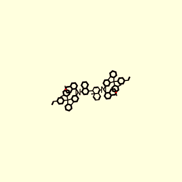 C=Cc1ccc(C2(c3ccc(C)cc3C)c3ccccc3-c3ccc(N(C4=C5C=CC=CC5(C)C(c5ccc(N(c6ccc7c(c6)C(c6ccc(C=C)cc6)(c6ccc(C)cc6C)c6ccccc6-7)c6cccc7ccccc67)c6ccccc56)C=C4)c4cccc5ccccc45)cc32)cc1